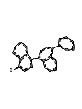 Brc1ccc(-c2ccc(-c3ccccc3)c3ccccc23)c2ccccc12